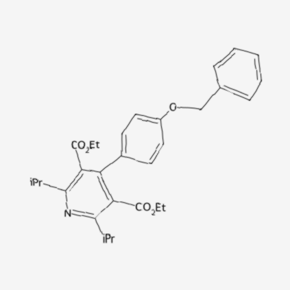 CCOC(=O)c1c(C(C)C)nc(C(C)C)c(C(=O)OCC)c1-c1ccc(OCc2ccccc2)cc1